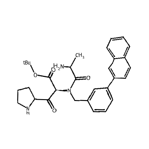 CC(N)C(=O)N(Cc1cccc(-c2ccc3ccccc3c2)c1)[C@H](C(=O)OC(C)(C)C)C(=O)C1CCCN1